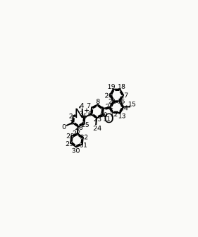 Cc1c[n+](C)c(-c2ccc3c(oc4cc(C)c5ccccc5c43)c2C)cc1-c1ccccc1